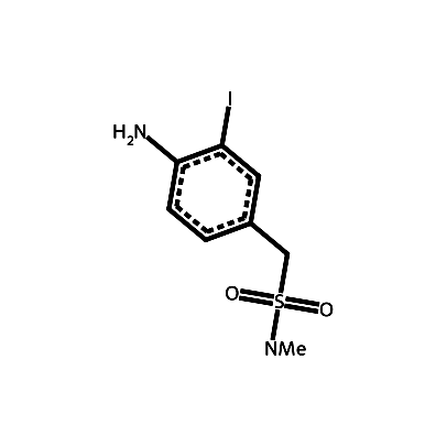 CNS(=O)(=O)Cc1ccc(N)c(I)c1